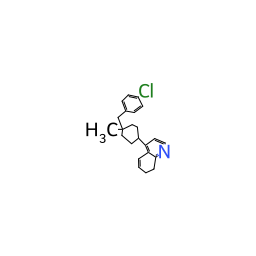 CC1(Cc2ccc(Cl)cc2)CCC(c2ccnc3c2C=CCC3)CC1